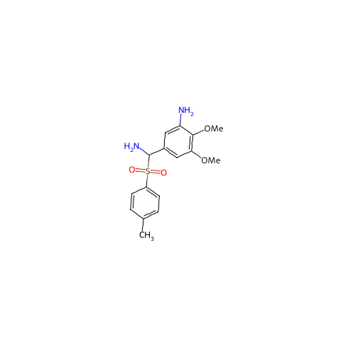 COc1cc(C(N)S(=O)(=O)c2ccc(C)cc2)cc(N)c1OC